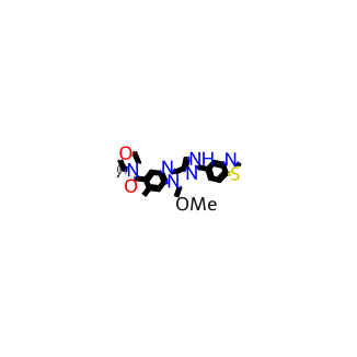 COCCn1c(-c2c[nH]c(-c3ccc4scnc4c3)n2)nc2cc(C(=O)N3CCOC[C@H]3C)c(C)cc21